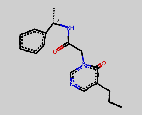 CCCc1cncn(CC(=O)N[C@@H](C)c2ccccc2)c1=O